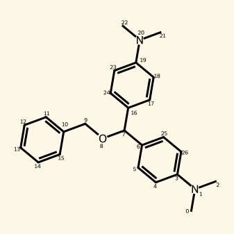 CN(C)c1ccc(C(OCc2ccccc2)c2ccc(N(C)C)cc2)cc1